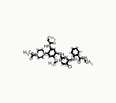 C=CC(=O)Nc1cc(Nc2ncc(Cl)c(Nc3ccccc3C(=O)NC)n2)c(OC)cc1N1CCN(C(C)=O)CC1